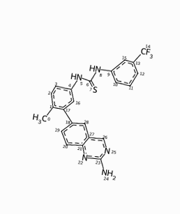 Cc1ccc(NC(=S)Nc2cccc(C(F)(F)F)c2)cc1-c1ccc2nc(N)ncc2c1